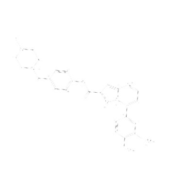 COc1ccc(-c2ccnc3cc(C(=O)Nc4ccc(CN5CCN(C)CC5)cc4)nn23)cc1OC